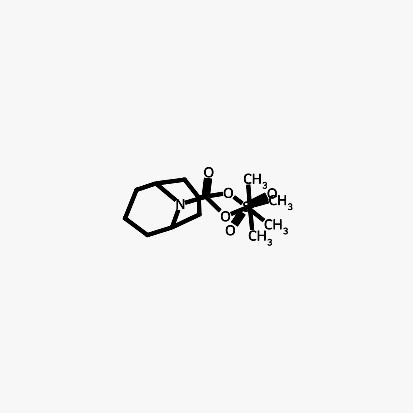 CC(C)(C)OC(=O)N1C2CCCC1CC(OS(C)(=O)=O)C2